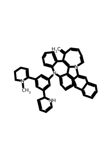 C=C1/C=C\C=C/N(c2ccc3ccccc3c2)C2=C1c1ccccc1N(c1cc(C3=CCCCN3C)cc(C3C=CC=CN3)c1)c1ccccc12